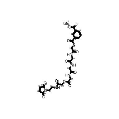 CC(C)(C)OC(=O)c1cccc(C(=O)SCC(=O)NCC(=O)NCC(=O)NCC(=O)OCC(=O)NCCN2C(=O)C=CC2=O)c1